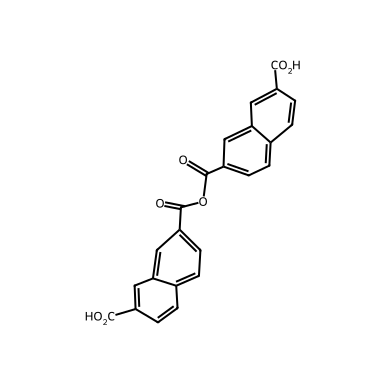 O=C(O)c1ccc2ccc(C(=O)OC(=O)c3ccc4ccc(C(=O)O)cc4c3)cc2c1